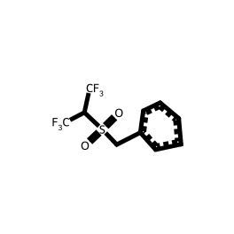 O=S(=O)(Cc1ccccc1)C(C(F)(F)F)C(F)(F)F